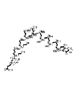 CC(=O)O.CCC(=O)O.CCCC(=O)O.CCCCN(OCCO)OCCO.CCCCN(OCCO)OCCO.CCCCN(OCCO)OCCO.CCCCN(OCCO)OCCO.CCCCN(OCCO)OCCO.CCCCN(OCCO)OCCO.CCCCN(OCCO)OCCO.I.O=C(O)CC(=O)O.O=CO